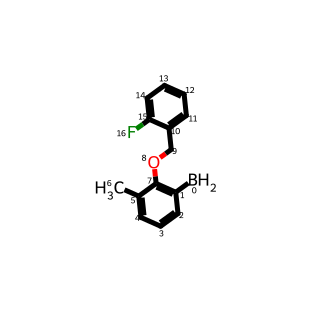 Bc1cccc(C)c1OCc1ccccc1F